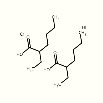 CCCCC(CC)C(=O)O.CCCCC(CC)C(=O)O.I.[Cr]